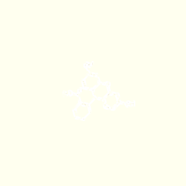 O=C(O)C1=C(C2c3ccc(O)cc3OC3C=C(O)C=CC32)CCC=C1